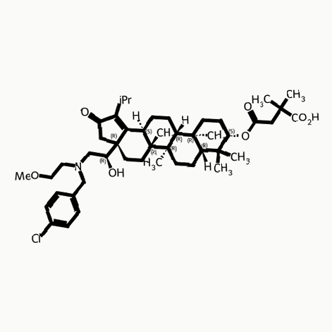 COCCN(Cc1ccc(Cl)cc1)C[C@H](O)[C@@]12CC[C@]3(C)[C@H](CC[C@@H]4[C@@]5(C)CC[C@H](OC(=O)CC(C)(C)C(=O)O)C(C)(C)[C@@H]5CC[C@]43C)C1=C(C(C)C)C(=O)C2